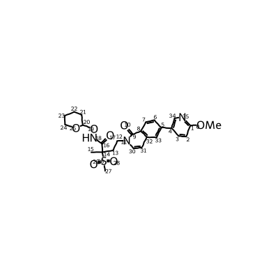 COc1ccc(-c2ccc3c(=O)n(CCC(C)(C(=O)NOC4CCCCO4)S(C)(=O)=O)ccc3c2)cn1